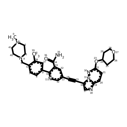 CN1CCN(Cc2ccc(-c3ncc(C#Cc4cnc5ccc(OC6CCOCC6)nn45)cc3C(N)=O)cc2C(F)(F)F)CC1